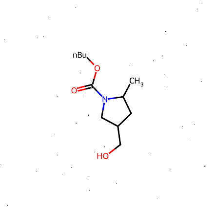 CCCCOC(=O)N1CC(CO)CC1C